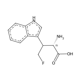 N[C@H](C(=O)O)C(CF)c1c[nH]c2ccccc12